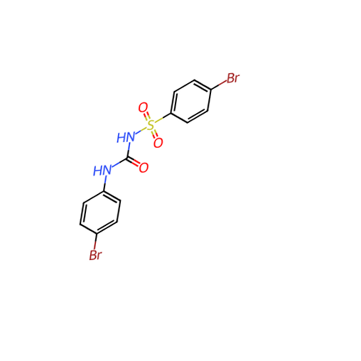 O=C(Nc1ccc(Br)cc1)NS(=O)(=O)c1ccc(Br)cc1